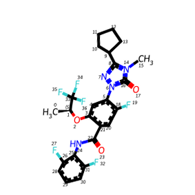 C[C@H](Oc1cc(-n2nc(C3CCCC3)n(C)c2=O)c(F)cc1C(=O)Nc1c(F)cccc1F)C(F)(F)F